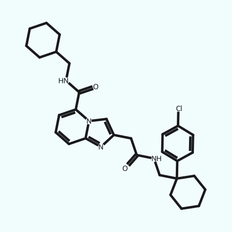 O=C(Cc1cn2c(C(=O)NCC3CCCCC3)cccc2n1)NCC1(c2ccc(Cl)cc2)CCCCC1